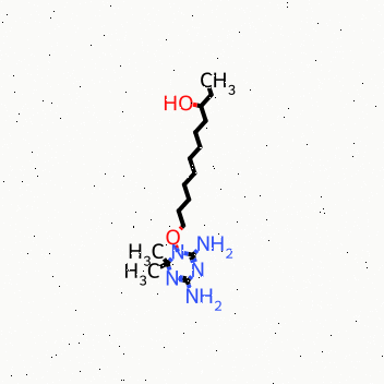 CCC(O)CCCCCCCCCON1C(N)=NC(N)=NC1(C)C